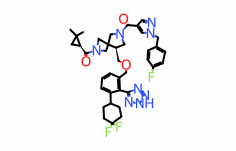 CC1(C)C[C@@H]1C(=O)N1CC2(CN(C(=O)c3cnn(Cc4ccc(F)cc4)c3)C[C@H]2COCc2cccc(C3CCC(F)(F)CC3)c2-c2nn[nH]n2)C1